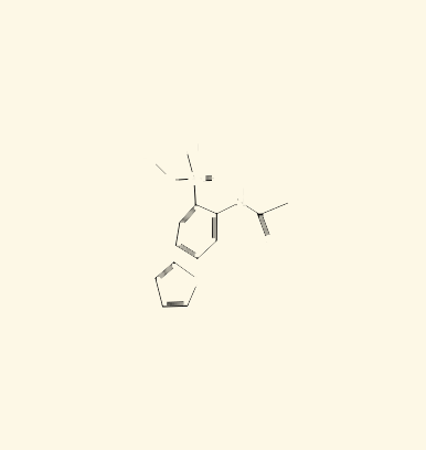 CC(=O)Nc1ccccc1[As](=O)(O)OO.c1ccsc1